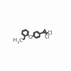 CCc1ccccc1Oc1ccc(C2CC2(Cl)Cl)cc1